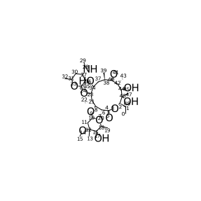 CC[C@H]1OC(=O)[C@H](C)[C@@H](OC2CC(C)(OC)C(O)C(C)O2)[C@H](C)[C@@H](OC2CC(NC)CC(C)O2)[C@@](C)(O)C[C@@H](C)C(=O)[C@H](C)[C@@H](O)[C@]1(C)O